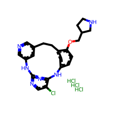 Cl.Cl.Cl.Clc1cnc2nc1Nc1ccc(OCC3CCNC3)c(c1)CCc1cncc(c1)N2